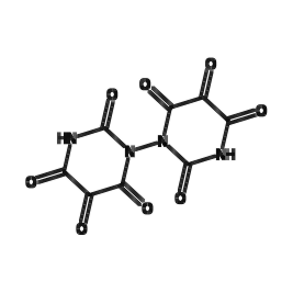 O=C1NC(=O)N(N2C(=O)NC(=O)C(=O)C2=O)C(=O)C1=O